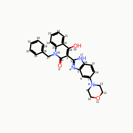 O=c1c(-c2nc3cc(N4CCOCC4)ccc3[nH]2)c(O)c2ccccc2n1Cc1ccccc1